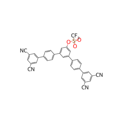 N#Cc1cc(C#N)cc(-c2ccc(-c3cc(OS(=O)(=O)C(F)(F)F)cc(-c4ccc(-c5cc(C#N)cc(C#N)c5)cc4)c3)cc2)c1